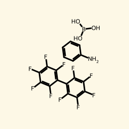 Fc1c(F)c(F)c(-c2c(F)c(F)c(F)c(F)c2F)c(F)c1F.Nc1ccccc1.OB(O)O